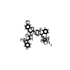 CS(=O)(=O)NCC(c1ccccc1F)N1CCN(C(=O)C(Cc2ccc(Cl)cc2)NC(=O)CC2NCc3ccccc32)CC1